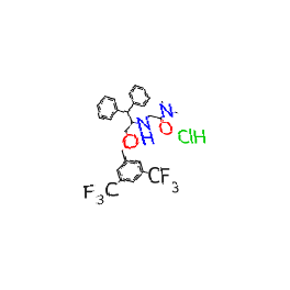 CN(C)C(=O)CNC(COCc1cc(C(F)(F)F)cc(C(F)(F)F)c1)C(c1ccccc1)c1ccccc1.Cl